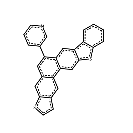 c1cncc(-c2cc3cc4sccc4cc3c3cc4sc5ccccc5c4cc23)c1